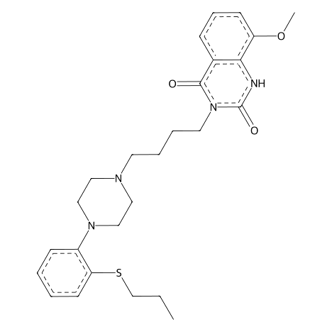 CCCSc1ccccc1N1CCN(CCCCn2c(=O)[nH]c3c(OC)cccc3c2=O)CC1